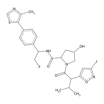 Cc1ncsc1-c1ccc(C(CF)NC(=O)C2CC(O)CN2C(=O)C(c2cc(I)no2)C(C)C)cc1